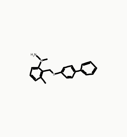 Cc1cccc(N(C)N)c1CSc1ccc(-c2ccccc2)cc1